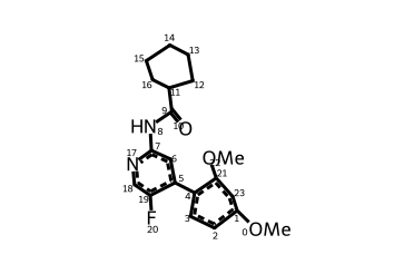 COc1ccc(-c2cc(NC(=O)C3CCCCC3)ncc2F)c(OC)c1